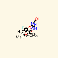 COCCOc1c([C@H]2[C@@H](C(=O)Nc3cnc(CCO)nc3)O[C@@](C)(C(F)(F)F)[C@H]2C)ccc(F)c1C